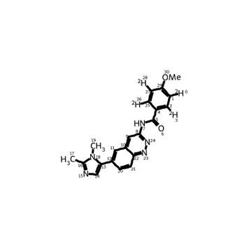 [2H]c1c([2H])c(C(=O)Nc2cc3cc(-c4cnc(C)n4C)ccc3nn2)c([2H])c([2H])c1OC